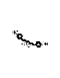 O=C(C=Cc1ccc(O)cc1)C=C(O)C=Cc1ccc(O)cc1